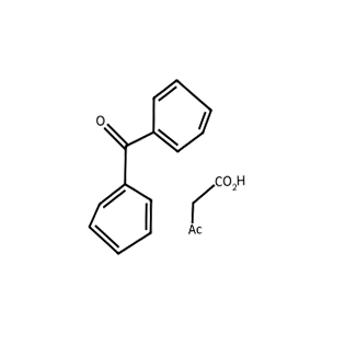 CC(=O)CC(=O)O.O=C(c1ccccc1)c1ccccc1